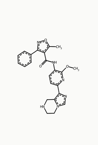 COc1nc(-c2ncn3c2CNCC3)ccc1NC(=O)c1c(-c2ccccc2)noc1C